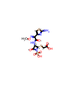 CO/N=C(\C(=O)N[C@@H]1C(=O)N(S(=O)(=O)O)[C@H]1SCC(=O)O)c1csc(N)n1